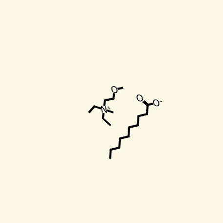 CCCCCCCCCC(=O)[O-].CC[N+](C)(CC)CCOC